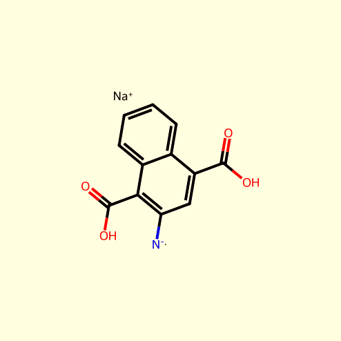 [N-]c1cc(C(=O)O)c2ccccc2c1C(=O)O.[Na+]